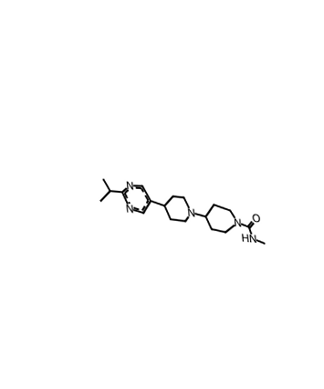 CNC(=O)N1CCC(N2CCC(c3cnc(C(C)C)nc3)CC2)CC1